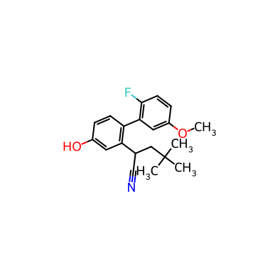 COc1ccc(F)c(-c2ccc(O)cc2C(C#N)CC(C)(C)C)c1